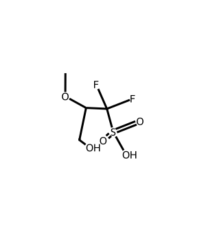 COC(CO)C(F)(F)S(=O)(=O)O